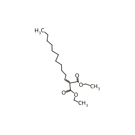 CCCCCCCCCCC=C(C(=O)OCC)C(=O)OCC